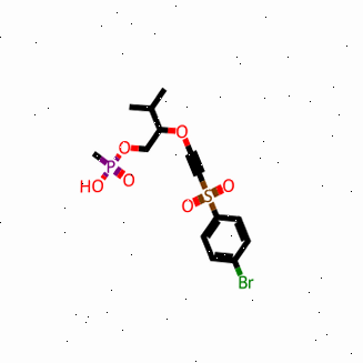 CC(C)C(COP(C)(=O)O)OC#CS(=O)(=O)c1ccc(Br)cc1